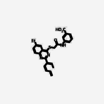 C=C/C=C\C(=C/C)c1nc(SCC(=O)Nc2cccc(C(=O)O)c2)c2cc(CC)ccc2n1